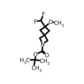 COC1(C(F)F)CC2(CN(C(=O)OC(C)(C)C)C2)C1